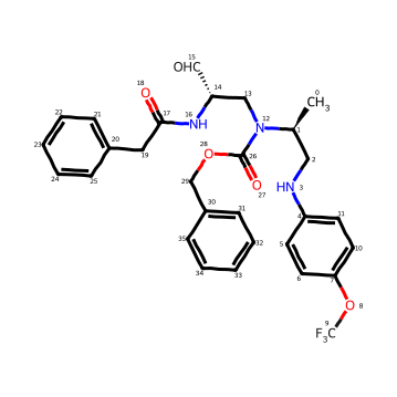 C[C@@H](CNc1ccc(OC(F)(F)F)cc1)N(C[C@@H](C=O)NC(=O)Cc1ccccc1)C(=O)OCc1ccccc1